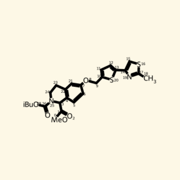 COC(=O)C1c2ccc(OCc3ccc(-c4csc(C)n4)s3)cc2CCN1C(=O)OCC(C)C